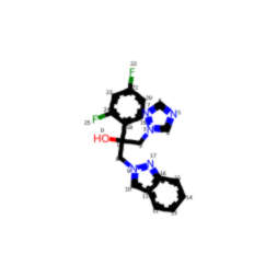 OC(Cn1cncn1)(Cn1cc2ccccc2n1)c1ccc(F)cc1F